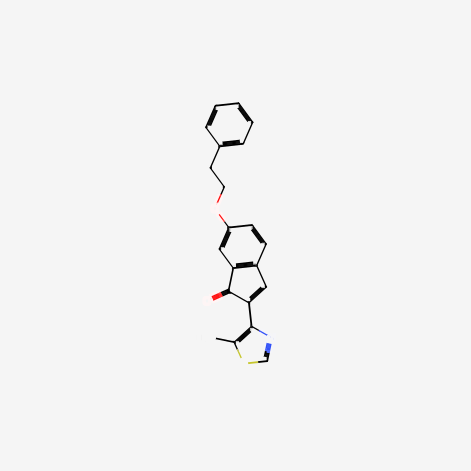 Cc1scnc1C1=Cc2ccc(OCCc3ccccc3)cc2C1=O